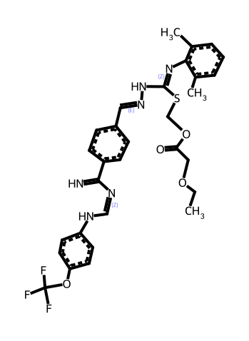 CCOCC(=O)OCS/C(=N\c1c(C)cccc1C)N/N=C/c1ccc(C(=N)/N=C\Nc2ccc(OC(F)(F)F)cc2)cc1